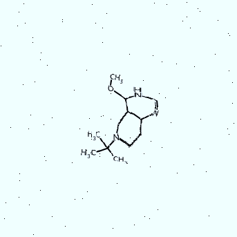 COC1NC=NC2CCN(C(C)(C)C)CC21